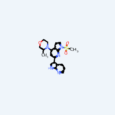 CC1COCCN1c1cc(-c2c[nH]c3ncccc23)nc2c1ccn2S(C)(=O)=O